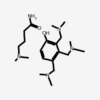 CN(C)CCCC(N)=O.CN(C)Cc1ccc(O)c(CN(C)C)c1CN(C)C